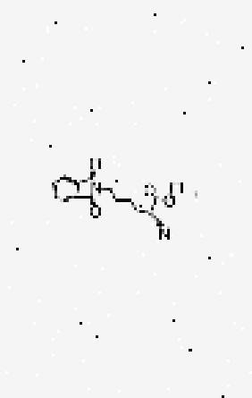 COC(=O)C(C#N)CCCCN1C(=O)c2ccccc2C1=O